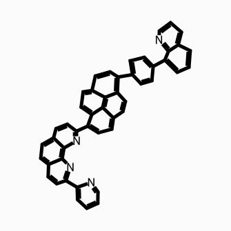 c1ccc(-c2ccc3ccc4ccc(-c5ccc6ccc7c(-c8ccc(-c9cccc%10cccnc9%10)cc8)ccc8ccc5c6c87)nc4c3n2)nc1